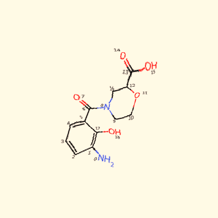 Nc1cccc(C(=O)N2CCOC(C(=O)O)C2)c1O